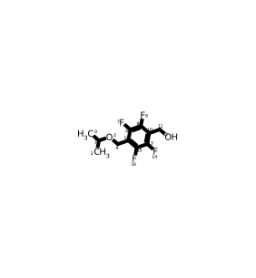 CC(C)OCc1c(F)c(F)c(CO)c(F)c1F